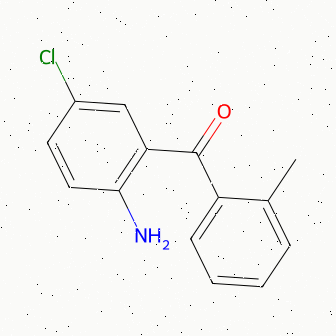 Cc1ccccc1C(=O)c1cc(Cl)ccc1N